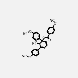 N#COc1ccc(C(=O)OC2(c3ccc(OC#N)cc3)C=CC=C(c3ccc(OC#N)cc3)C2C#N)cc1